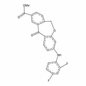 COC(=O)c1ccc2c(c1)C(=O)c1ccc(Nc3ccc(F)cc3F)cc1OC2